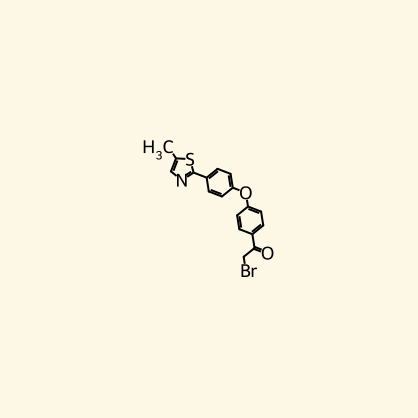 Cc1cnc(-c2ccc(Oc3ccc(C(=O)CBr)cc3)cc2)s1